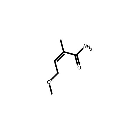 COCC=C(C)C(N)=O